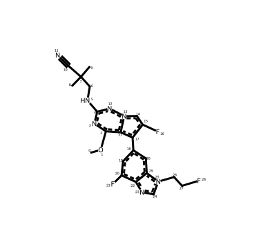 COc1nc(NCC(C)(C)C#N)nn2cc(F)c(-c3cc(F)c4ncn(CCF)c4c3)c12